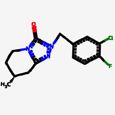 C[C@@H]1CCn2c(nn(Cc3ccc(F)c(Cl)c3)c2=O)C1